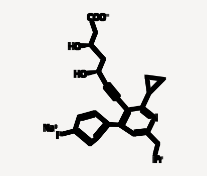 CC(C)Cc1cc(-c2ccc(F)cc2)c(C#C[C@@H](O)C[C@@H](O)CC(=O)[O-])c(C2CC2)n1.[Na+]